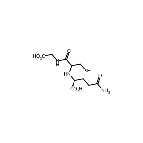 NC(=O)CC[C@H](NC(CS)C(=O)NCC(=O)O)C(=O)O